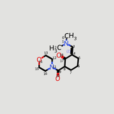 CN(C)/C=C1/CCCC(C(=O)N2CCOCC2)C1=O